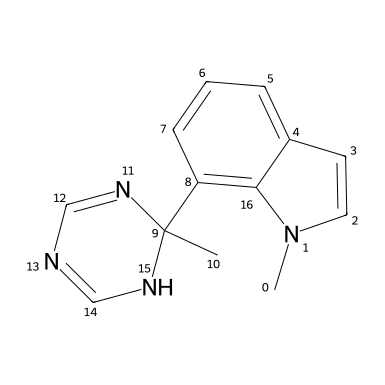 Cn1ccc2cccc(C3(C)N=CN=CN3)c21